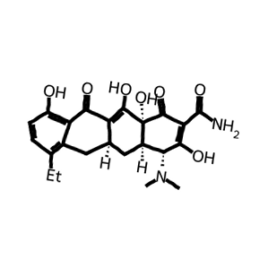 CCc1ccc(O)c2c1C[C@@H]1C[C@@H]3[C@@H](N(C)C)C(O)=C(C(N)=O)C(=O)[C@]3(O)C(O)=C1C2=O